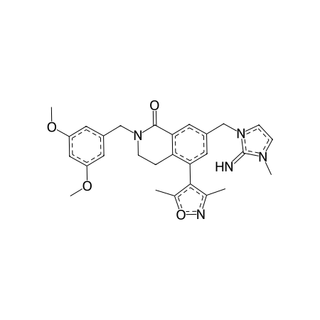 COc1cc(CN2CCc3c(cc(Cn4ccn(C)c4=N)cc3-c3c(C)noc3C)C2=O)cc(OC)c1